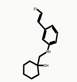 CC/C=C/c1cccc(NCC2(O)CCCCC2)c1